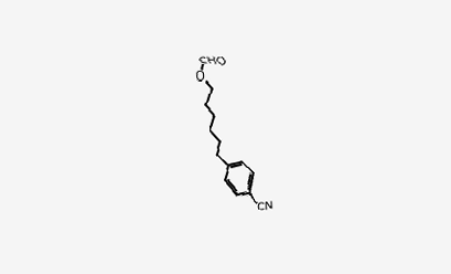 N#Cc1ccc(CCCCCCOC=O)cc1